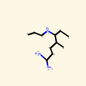 CCCNC(CC)C(C)CCC(N)N